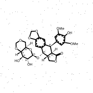 COc1cc([C@@H]2c3cc4c(cc3[C@@H](O[C@@H]3O[C@@H]5COCO[C@H]5[C@H](O)[C@H]3O)[C@H]3COC(=O)[C@H]23)OCO4)cc(OC)c1O